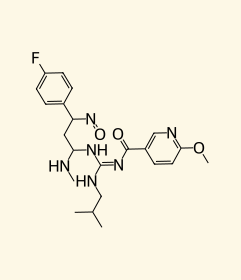 CNC(CC(N=O)c1ccc(F)cc1)N/C(=N\C(=O)c1ccc(OC)nc1)NCC(C)C